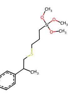 CO[Si](CCCSCC(C)c1ccccc1)(OC)OC